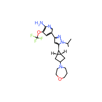 CC(C)n1nc(-c2cnc(N)c(OC(F)(F)F)c2)cc1[C@H]1[C@@H]2CC(N3CCCOCC3)C[C@@H]21